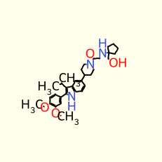 COc1ccc(-c2[nH]c3ccc(C4CCN(C(=O)CNC5(CO)CCCC5)CC4)cc3c2C(C)C)cc1OC